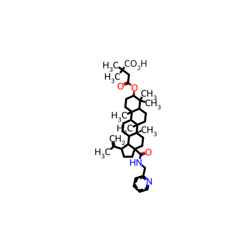 C=C(C)C1CCC2(C(=O)NCc3ccccn3)CC[C@]3(C)C(CCC4C5(C)CCC(OC(=O)CC(C)(C)C(=O)O)C(C)(C)C5CCC43C)C12